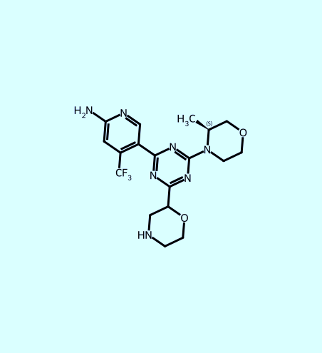 C[C@H]1COCCN1c1nc(-c2cnc(N)cc2C(F)(F)F)nc(C2CNCCO2)n1